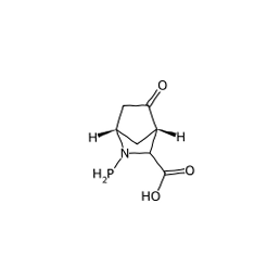 O=C(O)C1[C@@H]2C[C@@H](CC2=O)N1P